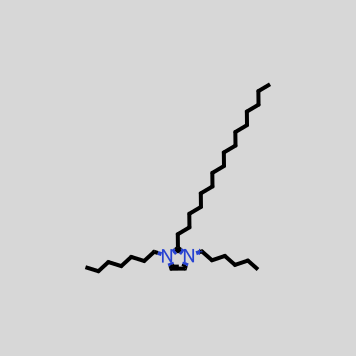 CCCCCCCCCCCCCCCCc1n(CCCCCCC)cc[n+]1CCCCCC